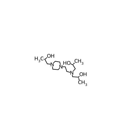 C[C@H](O)CN1CCN(CCN(C[C@H](C)O)C[C@H](C)O)CC1